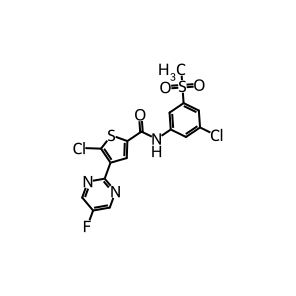 CS(=O)(=O)c1cc(Cl)cc(NC(=O)c2cc(-c3ncc(F)cn3)c(Cl)s2)c1